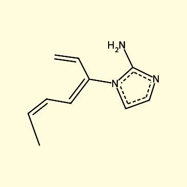 C=C/C(=C\C=C/C)n1ccnc1N